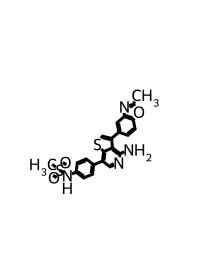 Cc1nc2cc(-c3csc4c(-c5ccc(NS(C)(=O)=O)cc5)cnc(N)c34)ccc2o1